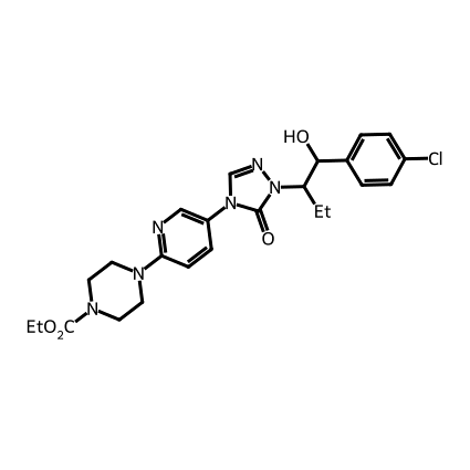 CCOC(=O)N1CCN(c2ccc(-n3cnn(C(CC)C(O)c4ccc(Cl)cc4)c3=O)cn2)CC1